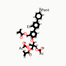 C=C(C)C(=O)OCc1cc(-c2ccc(C3CCC(CCCCC)CC3)cc2CC)ccc1OCC(COC(=O)C(=C)C)(COC(=O)C(C)=O)COC(=O)C(C)=O